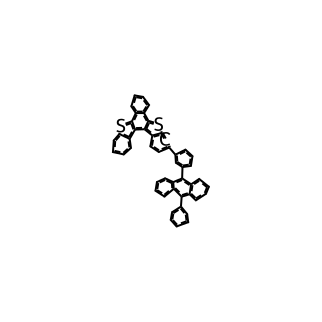 c1ccc(-c2c3ccccc3c(-c3cccc(-c4ccc5c(c4)sc4c6ccccc6c6sc7ccccc7c6c54)c3)c3ccccc23)cc1